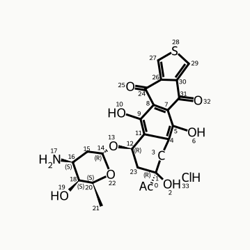 CC(=O)[C@@]1(O)Cc2c(O)c3c(c(O)c2[C@H](O[C@H]2C[C@H](N)[C@H](O)[C@H](C)O2)C1)C(=O)c1cscc1C3=O.Cl